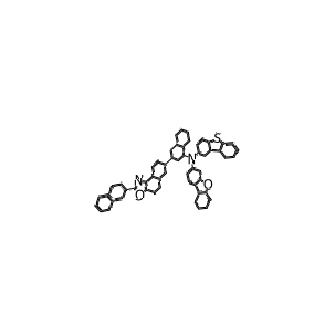 c1ccc2cc(-c3nc4c(ccc5cc(-c6cc(N(c7ccc8c(c7)oc7ccccc78)c7ccc8sc9ccccc9c8c7)c7ccccc7c6)ccc54)o3)ccc2c1